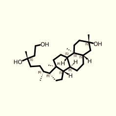 C[C@H](CC[C@](C)(O)CCO)[C@H]1CC[C@H]2[C@@H]3CC[C@H]4C[C@@](C)(O)CC[C@]4(C)[C@H]3CC[C@]12C